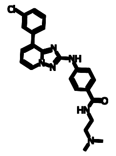 CN(C)CCNC(=O)c1ccc(Nc2nc3c(-c4cccc(Cl)c4)cccn3n2)cc1